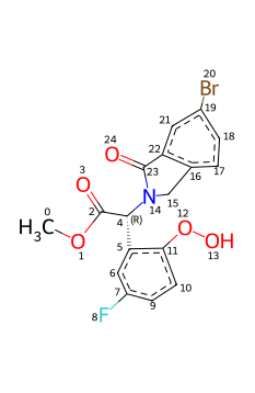 COC(=O)[C@@H](c1cc(F)ccc1OO)N1Cc2ccc(Br)cc2C1=O